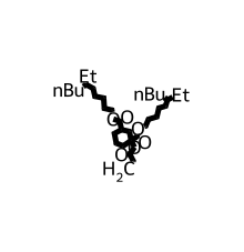 C=CC(=O)OC1(C(=O)OCCCCCC(CC)CCCC)CCCC(C(=O)OCCCCCC(CC)CCCC)C1